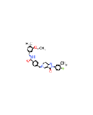 CCOc1cc(CNC(=O)c2ccc(CN3C=C4C(=O)N(c5ccc(F)c(C)c5)N=C4CC3)cc2)ccc1C